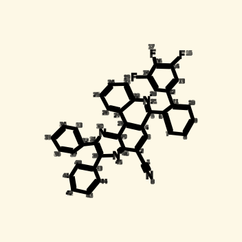 N#Cc1cc2c(-c3ccccc3-c3cc(F)c(F)c(F)c3)nc3ccccc3c2c2nc(-c3ccccc3)c(-c3ccccc3)nc12